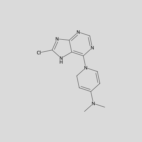 CN(C)C1=CCN(c2ncnc3nc(Cl)[nH]c23)C=C1